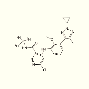 [2H]C([2H])([2H])NC(=O)c1nnc(Cl)cc1Nc1cccc(-c2nn(C3CC3)nc2C)c1OC